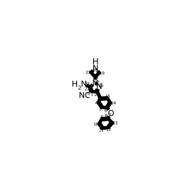 N#Cc1c(-c2ccc(Oc3ccccc3)cc2)nn(C2CNC2)c1N